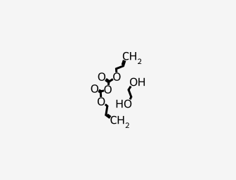 C=CCOC(=O)OC(=O)OCC=C.OCCO